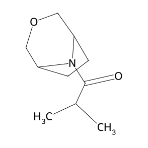 CC(C)C(=O)N1C2CCC1COC2